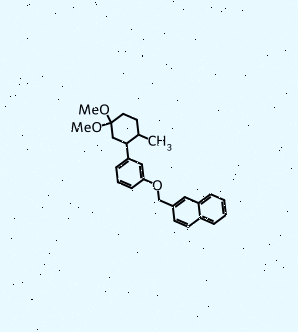 COC1(OC)CCC(C)C(c2cccc(OCc3ccc4ccccc4c3)c2)C1